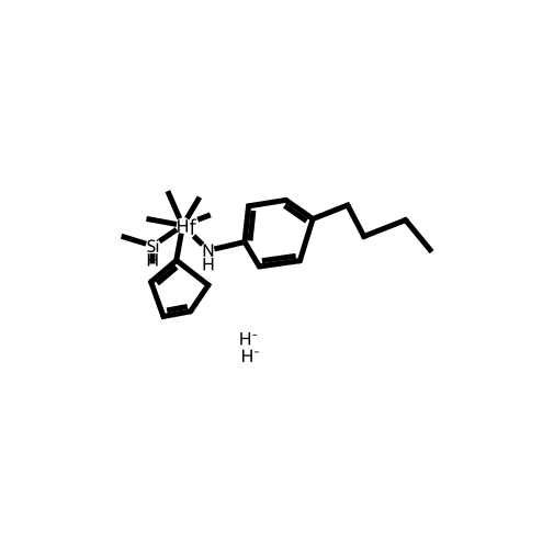 CCCCc1ccc([NH][Hf]([CH3])([CH3])([CH3])([CH3])([C]2=CC=CC2)[SiH](C)C)cc1.[H-].[H-]